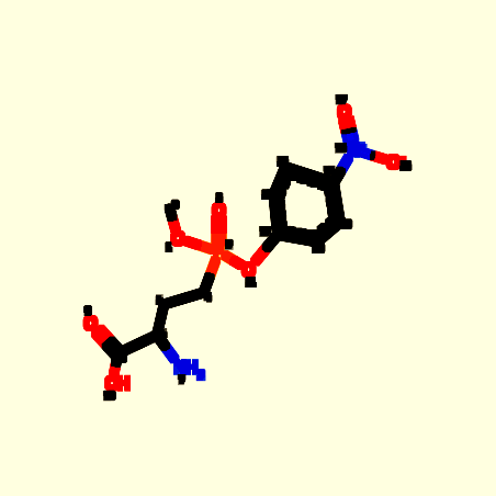 COP(=O)(CCC(N)C(=O)O)Oc1ccc([N+](=O)[O-])cc1